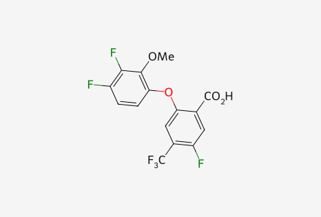 COc1c(Oc2cc(C(F)(F)F)c(F)cc2C(=O)O)ccc(F)c1F